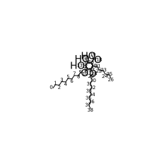 CCCCCCCCCCOc1c(O)c(O)c(C(=O)O)c(CCCCCC)c1OCCCCCCCCCC